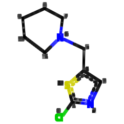 Clc1ncc(CN2CCCCC2)s1